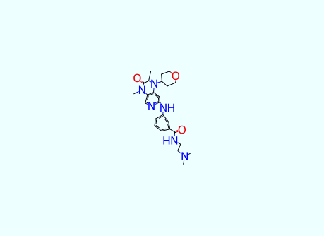 CC1C(=O)N(C)c2cnc(Nc3cccc(C(=O)NCCN(C)C)c3)cc2N1C1CCOCC1